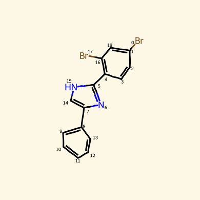 Brc1ccc(-c2nc(-c3ccccc3)c[nH]2)c(Br)c1